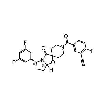 C#Cc1cc(C(=O)N2CCC3(CC2)O[C@@H]2CC[C@@H](c4cc(F)cc(F)c4)N2C3=O)ccc1F